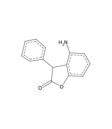 Nc1cccc2c1C(c1ccccc1)C(=O)O2